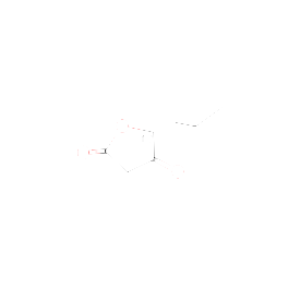 CCC[C@H]1OC(=O)[C@@H](C)C1=O